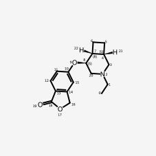 CCN1C[C@H]2CC[C@H]2[C@H](Oc2ccc3c(c2)COC3=O)C1